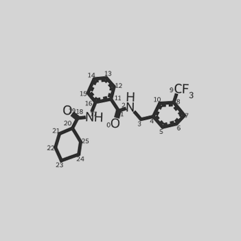 O=C(NCc1cccc(C(F)(F)F)c1)c1ccccc1NC(=O)C1CCCCC1